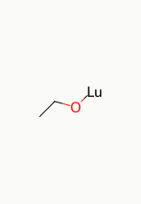 CC[O][Lu]